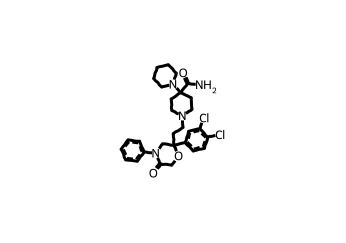 NC(=O)C1(N2CCCCC2)CCN(CCC2(c3ccc(Cl)c(Cl)c3)CN(c3ccccc3)C(=O)CO2)CC1